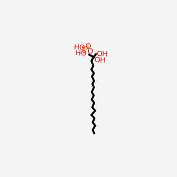 CCCCCCCCCCCCCCCCCCCCC(O)(CO)COP(=O)(O)O